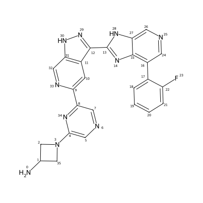 NC1CN(c2cncc(-c3cc4c(-c5nc6c(-c7ccccc7F)cncc6[nH]5)n[nH]c4cn3)n2)C1